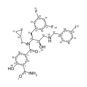 NC(=O)c1cc(C(=O)N(CC2CC2)[C@@H](Cc2cc(F)cc(F)c2)[C@H](O)CNCc2cccc(I)c2)ccc1O